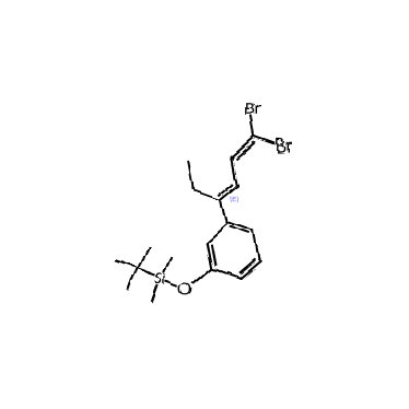 CC/C(=C\C=C(Br)Br)c1cccc(O[Si](C)(C)C(C)(C)C)c1